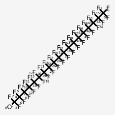 [O]C(F)(F)C(F)(F)C(F)(F)C(F)(F)C(F)(F)C(F)(F)C(F)(F)C(F)(F)C(F)(F)C(F)(F)C(F)(F)C(F)(F)C(F)(F)C(F)(F)C(F)(F)C(F)(F)C(F)(F)C(F)(F)C(F)(F)F